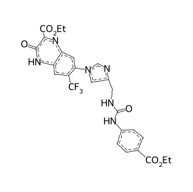 CCOC(=O)c1ccc(NC(=O)NCc2cn(-c3cc4nc(C(=O)OCC)c(=O)[nH]c4cc3C(F)(F)F)cn2)cc1